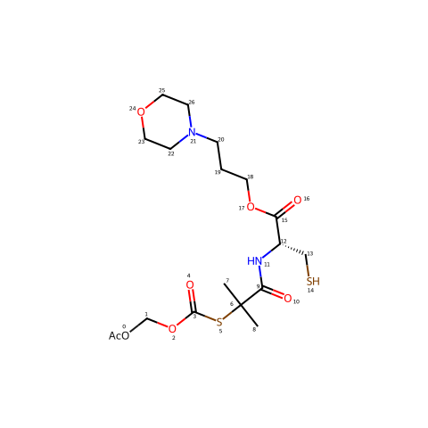 CC(=O)OCOC(=O)SC(C)(C)C(=O)N[C@@H](CS)C(=O)OCCCN1CCOCC1